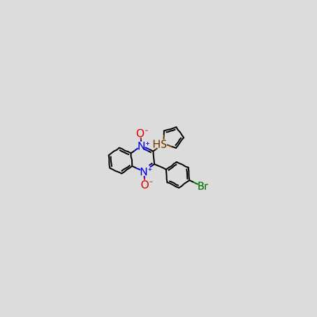 [O-][n+]1c(-c2ccc(Br)cc2)c([SH]2C=CC=C2)[n+]([O-])c2ccccc21